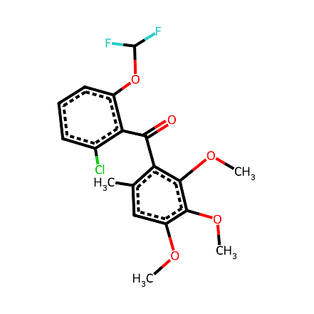 COc1cc(C)c(C(=O)c2c(Cl)cccc2OC(F)F)c(OC)c1OC